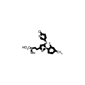 Cc1ccc(-n2nc(CCN(C(=O)O)C(C)(C)C)cc2Sc2ccc(Cl)nc2)c(F)c1